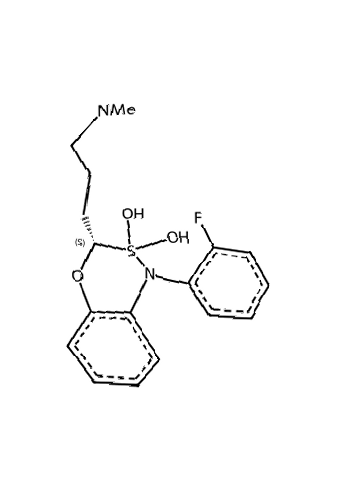 CNCCC[C@H]1Oc2ccccc2N(c2ccccc2F)S1(O)O